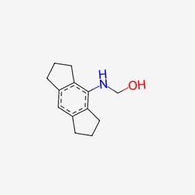 OCNc1c2c(cc3c1CCC3)CCC2